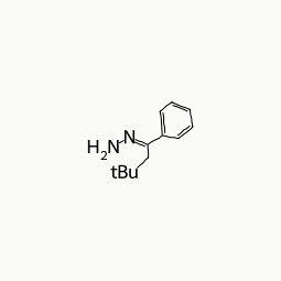 CC(C)(C)C/C(=N\N)c1ccccc1